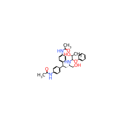 CC(=O)Nc1ccc(C(C[C@@H](CO)NC(Oc2ccccc2)C(C)O)c2ccc(NC(C)=O)cc2)cc1